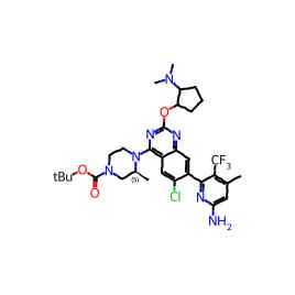 Cc1cc(N)nc(-c2cc3nc(OC4CCCC4N(C)C)nc(N4CCN(C(=O)OC(C)(C)C)C[C@@H]4C)c3cc2Cl)c1C(F)(F)F